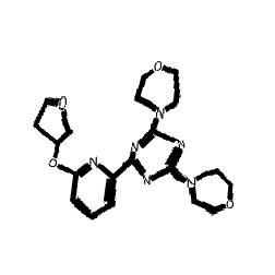 c1cc(OC2CCOC2)nc(-c2nc(N3CCOCC3)nc(N3CCOCC3)n2)c1